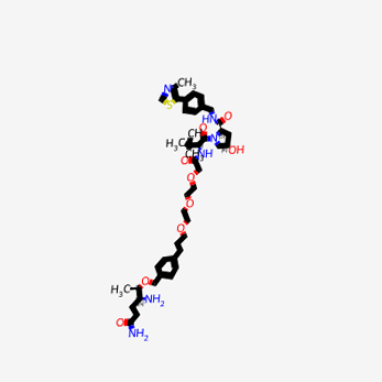 Cc1ncsc1-c1ccc(CNC(=O)[C@@H]2C[C@@H](O)CN2C(=O)[C@@H](NC(=O)COCCOCCOCCCc2ccc(CO[C@H](C)[C@@H](N)CCC(N)=O)cc2)C(C)(C)C)cc1